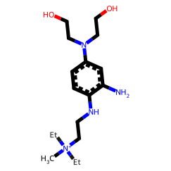 CC[N+](C)(CC)CCNc1ccc(N(CCO)CCO)cc1N